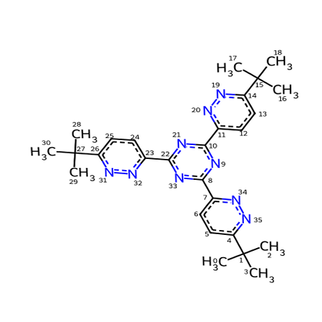 CC(C)(C)c1ccc(-c2nc(-c3ccc(C(C)(C)C)nn3)nc(-c3ccc(C(C)(C)C)nn3)n2)nn1